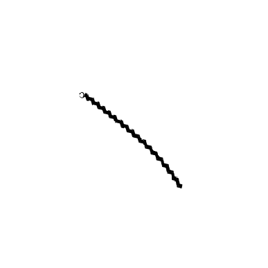 CCCCCCCCCCCCCCCCCCCCCCCCCCCCCCCCCC[C]=O